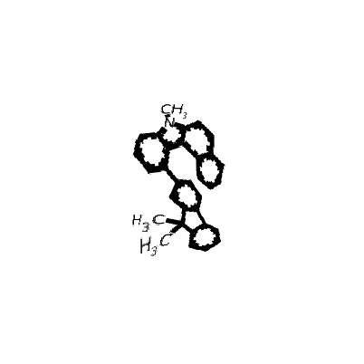 Cn1c2cccc(-c3ccc4c(c3)C(C)(C)c3ccccc3-4)c2c2c3ccccc3ccc21